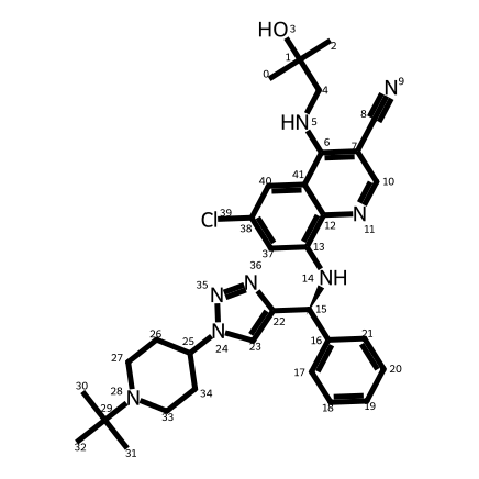 CC(C)(O)CNc1c(C#N)cnc2c(N[C@@H](c3ccccc3)c3cn(C4CCN(C(C)(C)C)CC4)nn3)cc(Cl)cc12